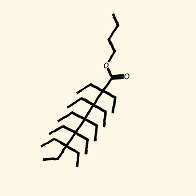 CCCCOC(=O)C(CC)(CC)C(CC)(CC)C(CC)(CC)C(CC)(CC)C(CC)(CC)CC